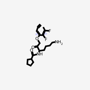 C#C/C=C(OCC(=O)C(CCCCN)NC(=O)C1CCCC1)\C(F)=C(/C)F